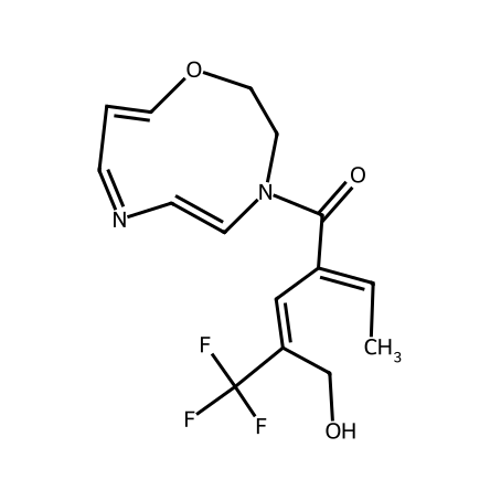 C/C=C(\C=C(/CO)C(F)(F)F)C(=O)N1/C=C/N=C\C=C\OCC1